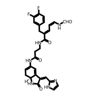 O=CN/C=C\C=C(/Cc1ccc(F)c(F)c1)C(=O)NCCC(=O)NC1=CC[C@@H]2NC(=O)/C(=C\c3ncc[nH]3)C2=C1